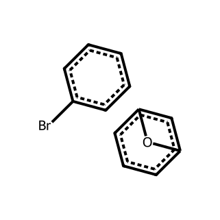 Brc1ccccc1.c1cc2cc(c1)O2